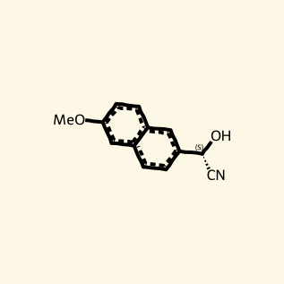 COc1ccc2cc([C@H](O)C#N)ccc2c1